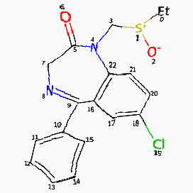 CC[S+]([O-])CN1C(=O)CN=C(c2ccccc2)c2cc(Cl)ccc21